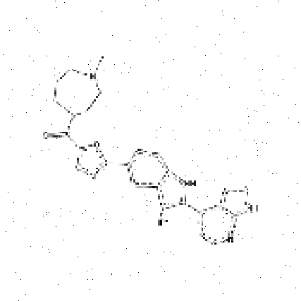 CC(C)c1c(-c2ccnc3[nH]ncc23)[nH]c2ccc(-c3nnc(C(=O)N4CCCN(C)CC4)o3)cc12